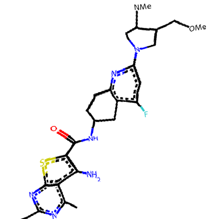 CNC1CN(c2cc(F)c3c(n2)CCC(NC(=O)c2sc4nc(C)nc(C)c4c2N)C3)CC1COC